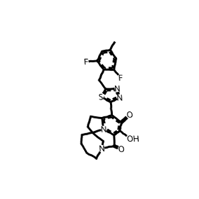 Cc1cc(F)c(Cc2nnc(-c3c4n5c(c(O)c3=O)C(=O)N3CCCCC5(CC4)C3)s2)c(F)c1